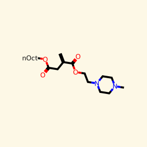 C=C(CC(=O)OCCCCCCCC)C(=O)OCCN1CCN(C)CC1